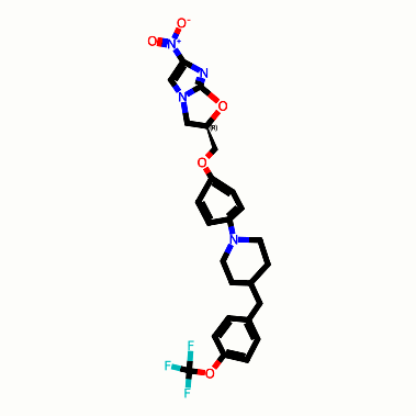 O=[N+]([O-])c1cn2c(n1)O[C@@H](COc1ccc(N3CCC(Cc4ccc(OC(F)(F)F)cc4)CC3)cc1)C2